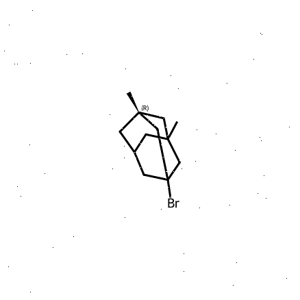 CC12CC3CC(Br)(C1)C[C@](C)(C3)C2